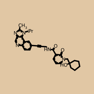 Cc1nc2cnc3ccc(C#CCNC(=O)c4cccn(CC5(O)CCCCC5)c4=O)cc3c2n1C(C)C